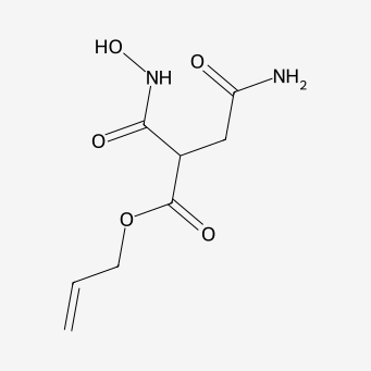 C=CCOC(=O)C(CC(N)=O)C(=O)NO